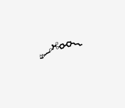 C=C(COCCCNCC)C(=O)OC1CCC(C2CCC(CCCCC)CC2)CC1